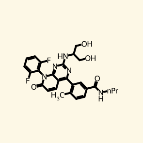 CCCNC(=O)c1ccc(C)c(-c2nc(NC(CO)CO)nc3c2ccc(=O)n3-c2c(F)cccc2F)c1